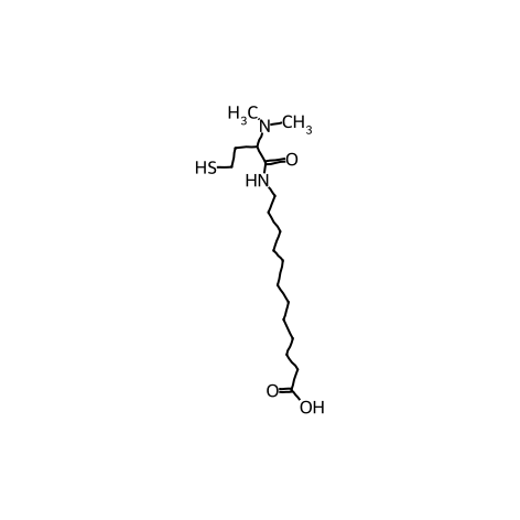 CN(C)C(CCS)C(=O)NCCCCCCCCCCCC(=O)O